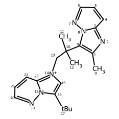 Cc1nc2cccnn2c1C(C)(C)C[n+]1cc(C(C)(C)C)n2ncccc21